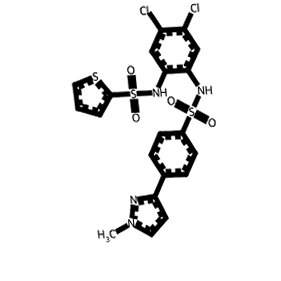 Cn1ccc(-c2ccc(S(=O)(=O)Nc3cc(Cl)c(Cl)cc3NS(=O)(=O)c3cccs3)cc2)n1